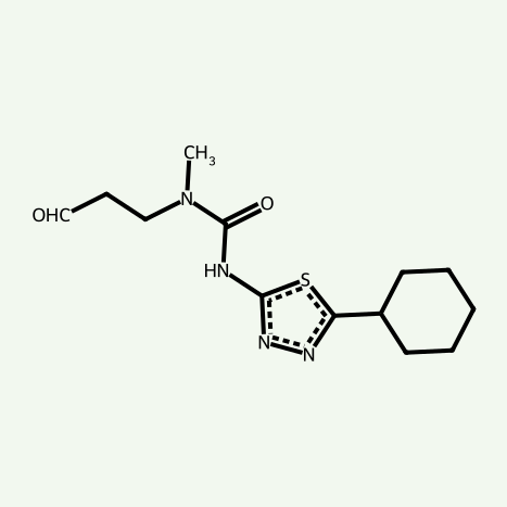 CN(CCC=O)C(=O)Nc1nnc(C2CCCCC2)s1